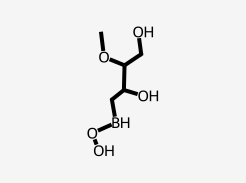 COC(CO)C(O)CBOO